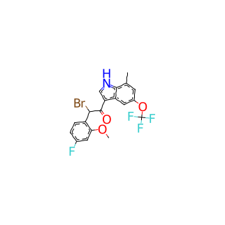 COc1cc(F)ccc1C(Br)C(=O)c1c[nH]c2c(C)cc(OC(F)(F)F)cc12